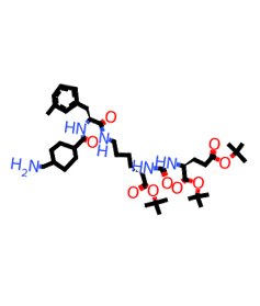 Cc1cccc(C[C@H](NC(=O)C2CCC(CN)CC2)C(=O)NCCCC[C@H](NC(=O)N[C@@H](CCC(=O)OC(C)(C)C)C(=O)OC(C)(C)C)C(=O)OC(C)(C)C)c1